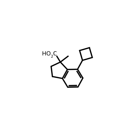 CC1(C(=O)O)CCc2cccc(C3CCC3)c21